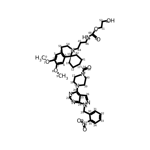 COc1cc2c(cc1OC)[C@]1(CC[C@@H](C(=O)N3CCN(c4ncnc5c4cnn5Cc4ccccc4[N+](=O)[O-])CC3)CC1)N(CCCNC(=O)OCCO)CC2